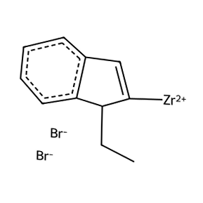 CCC1[C]([Zr+2])=Cc2ccccc21.[Br-].[Br-]